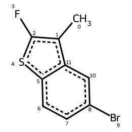 Cc1c(F)sc2ccc(Br)cc12